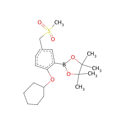 CC1(C)OB(c2cc(CS(C)(=O)=O)ccc2OC2CCCCC2)OC1(C)C